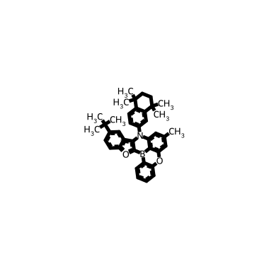 Cc1cc2c3c(c1)N(c1ccc4c(c1)C(C)(C)CCC4(C)C)c1c(oc4ccc(C(C)(C)C)cc14)B3c1ccccc1O2